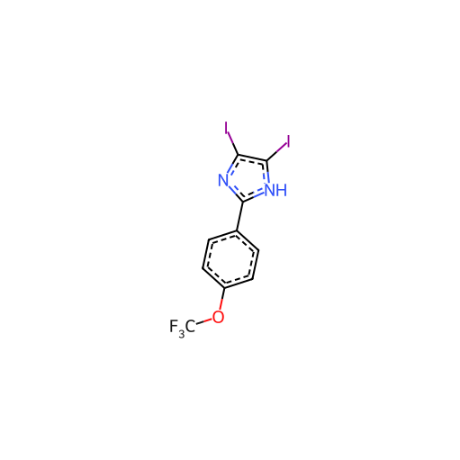 FC(F)(F)Oc1ccc(-c2nc(I)c(I)[nH]2)cc1